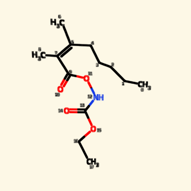 CCCCCC(C)=C(C)C(=O)ONC(=O)OCC